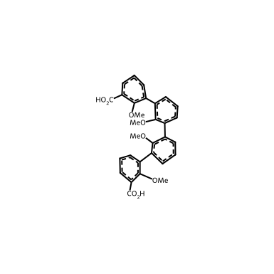 COc1c(C(=O)O)cccc1-c1cccc(-c2cccc(-c3cccc(C(=O)O)c3OC)c2OC)c1OC